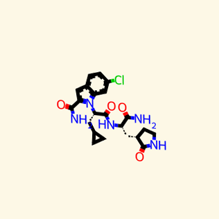 NC(=O)c1cc2ccc(Cl)cc2n1[C@@H](CC1CC1)C(=O)N[C@@H](C[C@@H]1CCNC1=O)C(N)=O